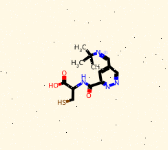 CC(C)(C)/N=C\c1cnnc(C(=O)NC(CS)C(=O)O)c1